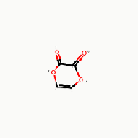 O=c1occoc1=O